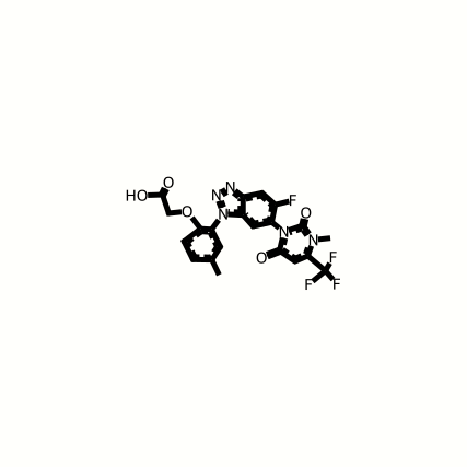 Cc1ccc(OCC(=O)O)c(-n2nnc3cc(F)c(-n4c(=O)cc(C(F)(F)F)n(C)c4=O)cc32)c1